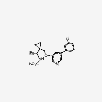 CC(C)(C)C(NC(=O)O)C1(COc2cncc(-c3cccc(Cl)c3)c2)CC1